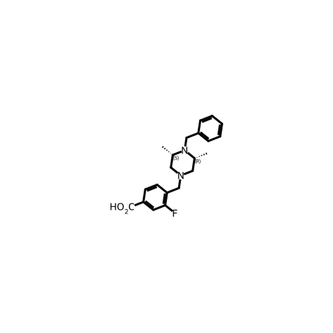 C[C@@H]1CN(Cc2ccc(C(=O)O)cc2F)C[C@H](C)N1Cc1ccccc1